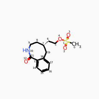 CS(=O)(=O)OCC[C@H]1CCNC(=O)c2ccccc2C1